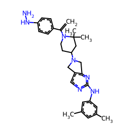 C=C(c1ccc(NN)cc1)N1CCC(N2Cc3cnc(Nc4cc(C)cc(C)c4)nc3C2)CC1(C)C